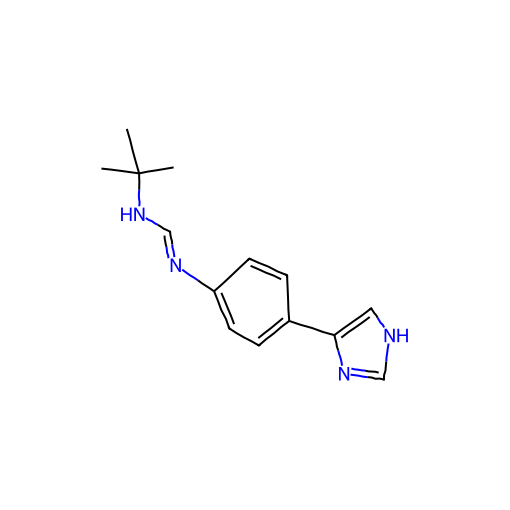 CC(C)(C)N/C=N/c1ccc(-c2c[nH]cn2)cc1